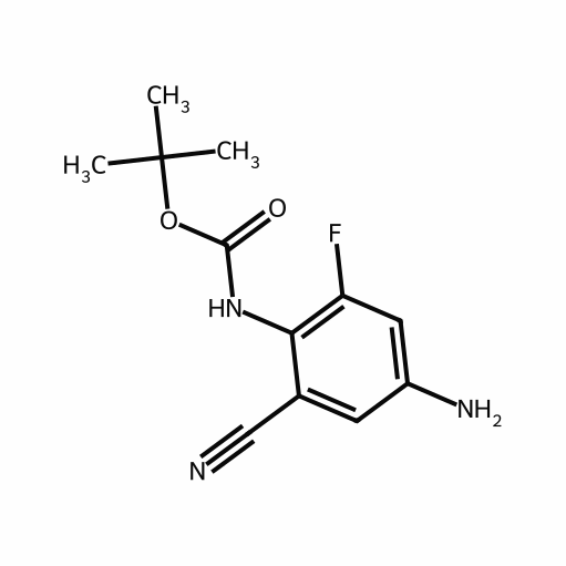 CC(C)(C)OC(=O)Nc1c(F)cc(N)cc1C#N